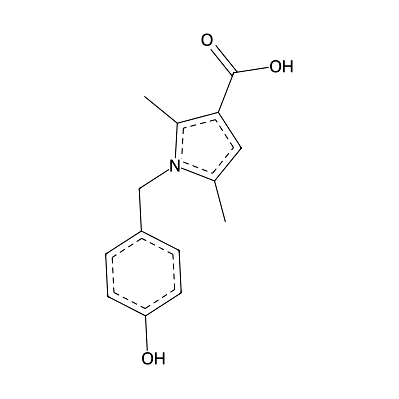 Cc1cc(C(=O)O)c(C)n1Cc1ccc(O)cc1